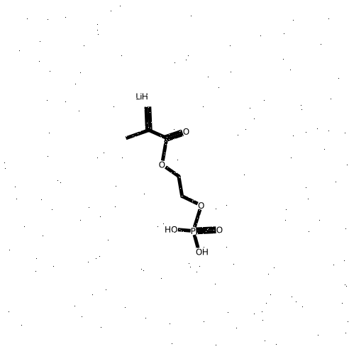 C=C(C)C(=O)OCCOP(=O)(O)O.[LiH]